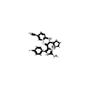 Cc1nc(C(=O)[C@@H](Nc2ccc(C#N)cn2)C2CCCN2)c(-c2ccc(F)cc2)s1